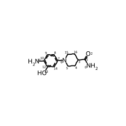 NC(=O)C1CCN(c2ccc(N)c(O)c2)CC1